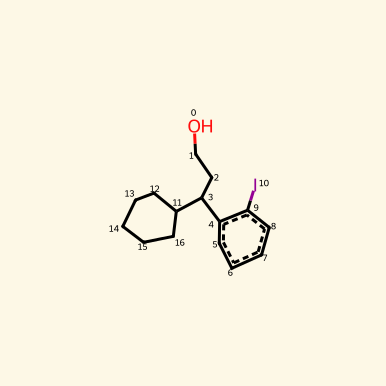 OCCC(c1ccccc1I)C1CCCCC1